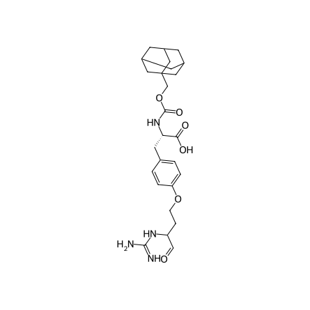 N=C(N)NC(C=O)CCOc1ccc(C[C@H](NC(=O)OCC23CC4CC(CC(C4)C2)C3)C(=O)O)cc1